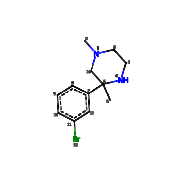 CN1CCNC(C)(c2cccc(Br)c2)C1